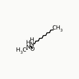 CCCCCCCCCCCCNC(=O)NCC